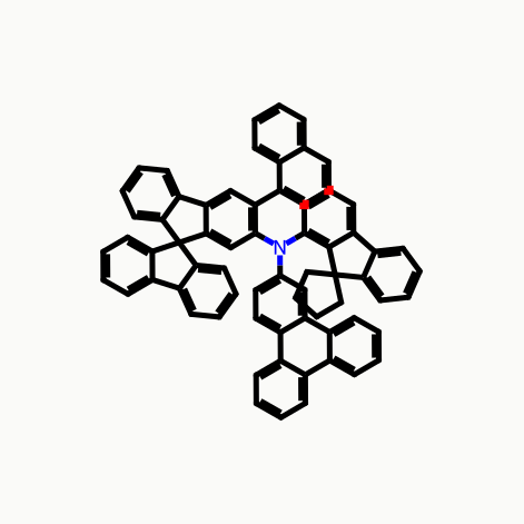 c1ccc2c(c1)-c1cccc(N(c3ccc4c5ccccc5c5ccccc5c4c3)c3cc4c(cc3-c3cccc5ccccc35)-c3ccccc3C43c4ccccc4-c4ccccc43)c1C21CCCC1